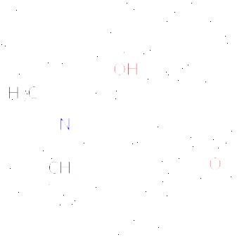 CN(C)C(O)CC[O]